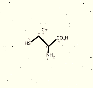 NC(CS)C(=O)O.[Co]